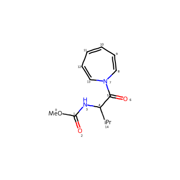 COC(=O)NC(C(=O)N1C=CC=CC=C1)C(C)C